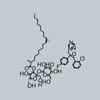 CCCCCCCC/C=C\CCCCCCC(C)C(=O)O[C@H]1[C@H](O)[C@@H](CO)O[C@@]1(CO)O[C@H]1O[C@H](CO)[C@@H](O)[C@H](O)[C@H]1O.Fc1ccc(C2(Cn3cncn3)OC2c2ccccc2Cl)cc1